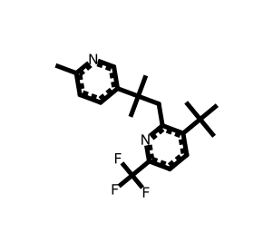 Cc1ccc(C(C)(C)Cc2nc(C(F)(F)F)ccc2C(C)(C)C)cn1